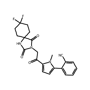 Cn1c(C(=O)CN2C(=O)NC3(CCC(F)(F)CC3)C2=O)ccc1-c1ccccc1C#N